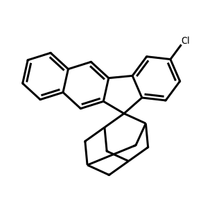 Clc1ccc2c(c1)-c1cc3ccccc3cc1C21C2CC3CC(C2)CC1C3